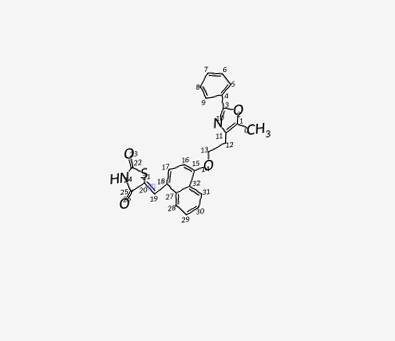 Cc1oc(-c2ccccc2)nc1CCOc1ccc(/C=C2\SC(=O)NC2=O)c2ccccc12